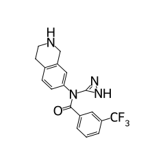 O=C(c1cccc(C(F)(F)F)c1)N(C1=NN1)c1ccc2c(c1)CNCC2